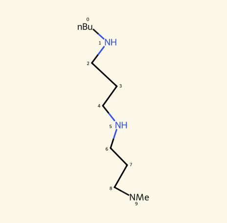 CCCCNCCCNCCCNC